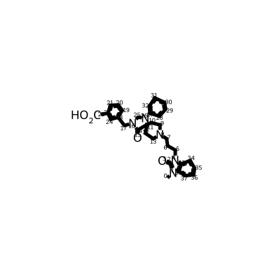 Cn1c(=O)n(CCCN2CCC3(CC2)C(=O)N(Cc2cccc(C(=O)O)c2)CN3c2ccccc2)c2ccccc21